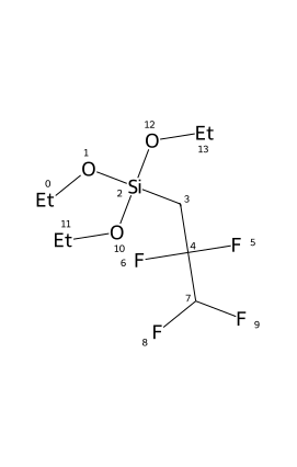 CCO[Si](CC(F)(F)C(F)F)(OCC)OCC